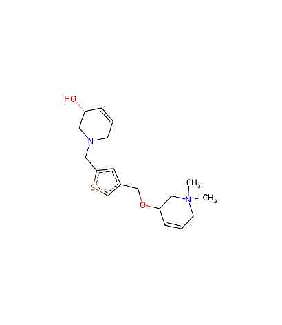 C[N+]1(C)CC=CC(OCc2csc(CN3CC=C[C@@H](O)C3)c2)C1